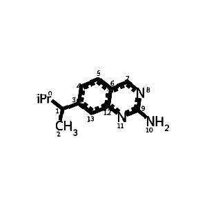 CC(C)C(C)c1ccc2cnc(N)nc2c1